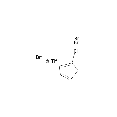 ClC1=CC=CC1.[Br-].[Br-].[Br-].[Br-].[Ti+4]